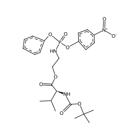 CC(C)[C@H](NC(=O)OC(C)(C)C)C(=O)OCCNP(=O)(Oc1ccccc1)Oc1ccc([N+](=O)[O-])cc1